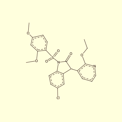 CCOc1ncccc1[C]1C(=O)N(S(=O)(=O)c2ccc(OC)cc2OC)c2ccc(Cl)cc21